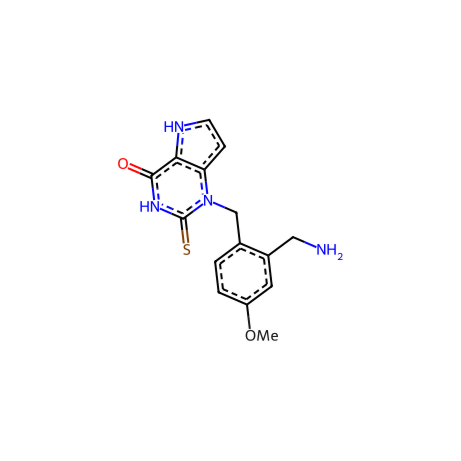 COc1ccc(Cn2c(=S)[nH]c(=O)c3[nH]ccc32)c(CN)c1